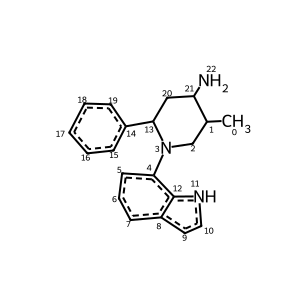 CC1CN(c2cccc3cc[nH]c23)C(c2ccccc2)CC1N